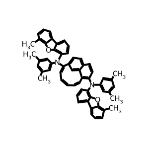 Cc1cc(C)cc(N(c2cccccc3c(N(c4cc(C)cc(C)c4)c4cccc5c4oc4c(C)cccc45)ccc4ccc2cc43)c2cccc3c2oc2c(C)cccc23)c1